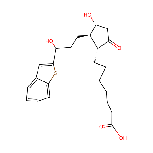 O=C(O)CCCCCC[C@H]1C(=O)C[C@@H](O)[C@@H]1CCC(O)c1cc2ccccc2s1